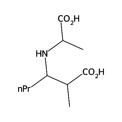 CCCC(NC(C)C(=O)O)C(C)C(=O)O